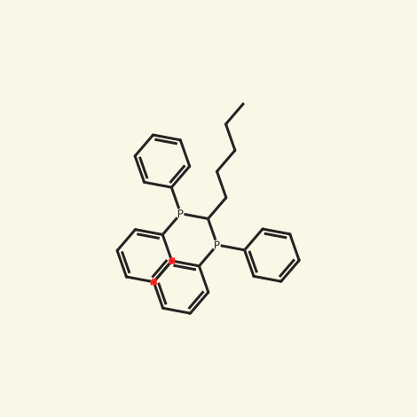 CCCCCC(P(c1ccccc1)c1ccccc1)P(c1ccccc1)c1ccccc1